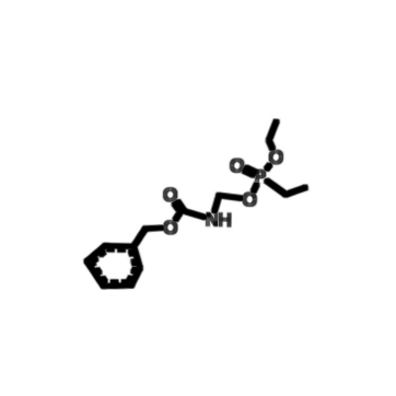 CCOP(=O)(CC)OCNC(=O)OCc1ccccc1